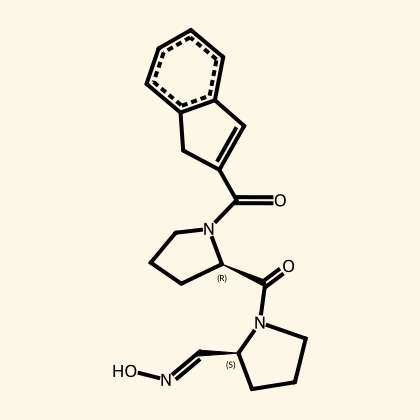 O=C([C@H]1CCCN1C(=O)C1=Cc2ccccc2C1)N1CCC[C@H]1C=NO